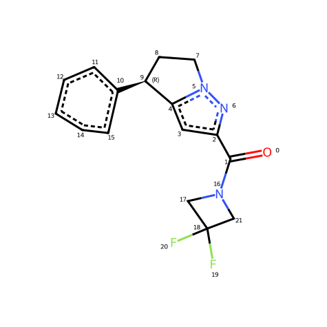 O=C(c1cc2n(n1)CC[C@@H]2c1ccccc1)N1CC(F)(F)C1